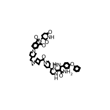 CN(CC1CCN(c2ccc3c(c2)C(=O)N(C2CCC(=O)NC2=O)C3=O)CC1)C1CC(C(=O)N2CCC([C@@H]3CCN/C(=C(/C(=N)c4ccc(Oc5ccccc5)cc4)C(N)=O)N3)CC2)C1